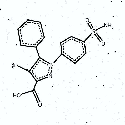 NS(=O)(=O)c1ccc(-n2nc(C(=O)O)c(Br)c2-c2ccccc2)cc1